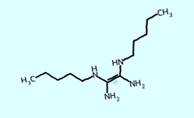 CCCCCN/C(N)=C(/N)NCCCCC